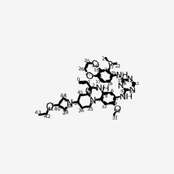 C=CC(=O)Nc1cc(Nc2ncnc(Nc3ccc4c(c3P(C)C)OCCO4)n2)c(OC)cc1N1CCC(N2CC(OCC)C2)CC1